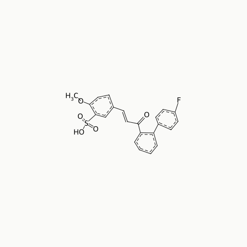 COc1ccc(/C=C/C(=O)c2ccccc2-c2ccc(F)cc2)cc1S(=O)(=O)O